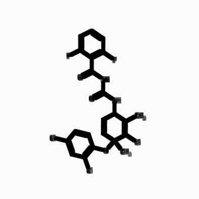 CC1=C(Cl)C(C)(Oc2ccc(Cl)cc2Cl)C=CC1NC(=O)NC(=O)c1c(F)cccc1F